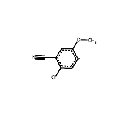 COc1[c]cc(Cl)c(C#N)c1